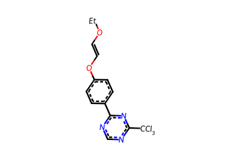 CCOC=COc1ccc(-c2ncnc(C(Cl)(Cl)Cl)n2)cc1